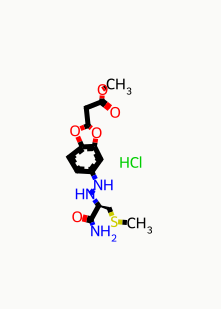 COC(=O)CC1Oc2ccc(NN[C@@H](CSC)C(N)=O)cc2O1.Cl